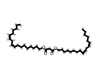 CCCCC/C=C\C/C=C\CCCCCCCCOC(=O)CC(=O)OCCCCCCCC/C=C\C/C=C\CCCCC